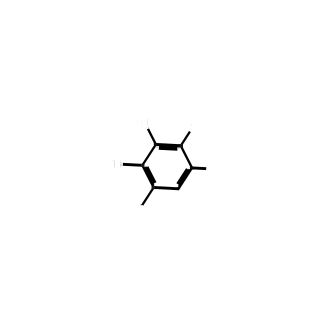 [2H]c1cc(I)c([2H])c([2H])c1C